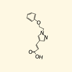 O=C(O)/C=C/c1cnn(CCOc2ccccc2)c1